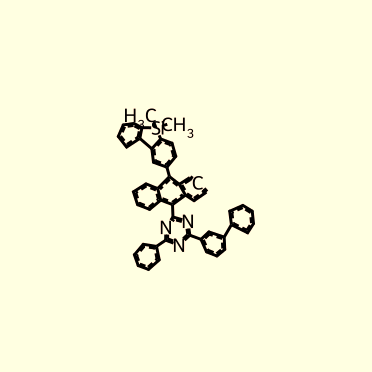 C[Si]1(C)c2ccccc2-c2cc(-c3c4ccccc4c(-c4nc(-c5ccccc5)nc(-c5cccc(-c6ccccc6)c5)n4)c4ccccc34)ccc21